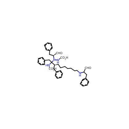 O=CC(Cc1ccccc1)NCCCCCCC[C@@H](Cc1ccccc1)C(Cc1ccccc1)(NC(=O)O)N(NC(=O)O)[C@H](C=O)Cc1ccccc1